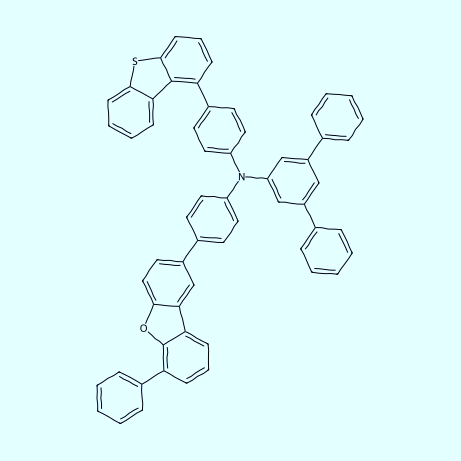 c1ccc(-c2cc(-c3ccccc3)cc(N(c3ccc(-c4ccc5oc6c(-c7ccccc7)cccc6c5c4)cc3)c3ccc(-c4cccc5sc6ccccc6c45)cc3)c2)cc1